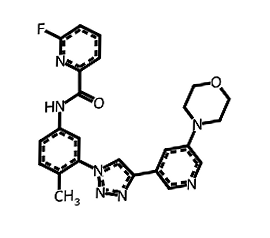 Cc1ccc(NC(=O)c2cccc(F)n2)cc1-n1cc(-c2cncc(N3CCOCC3)c2)nn1